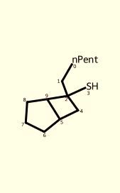 CCCCCCC1(S)CC2CCCC21